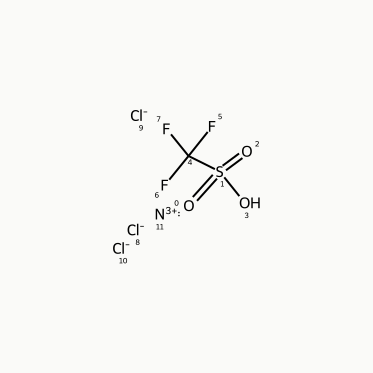 O=S(=O)(O)C(F)(F)F.[Cl-].[Cl-].[Cl-].[N+3]